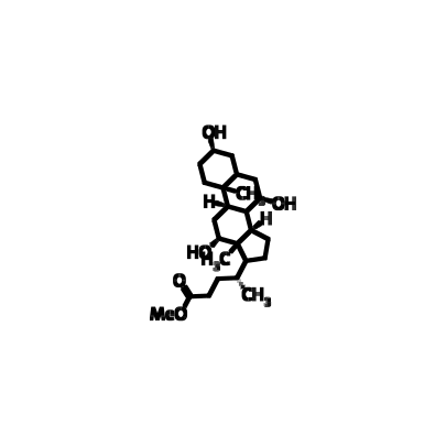 COC(=O)CC[C@@H](C)C1CC[C@H]2C3[C@H](O)CC4C[C@H](O)CCC4(C)[C@H]3C[C@H](O)C12C